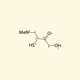 CNCC(S)C(=O)CO